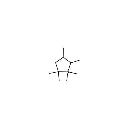 CC1CC(C)(C)[N+](C)(C)C1C